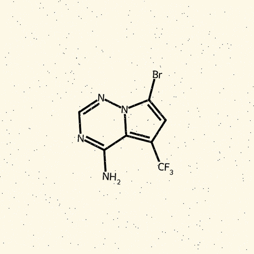 Nc1ncnn2c(Br)cc(C(F)(F)F)c12